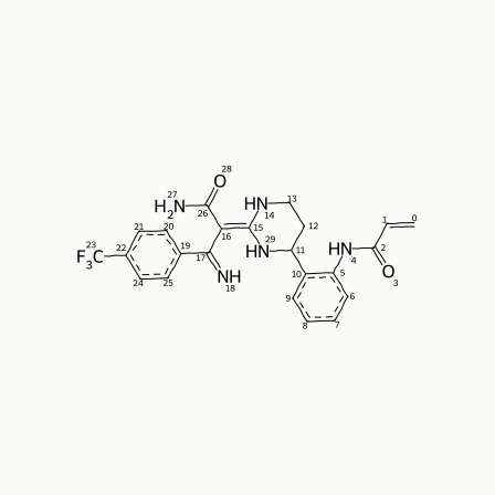 C=CC(=O)Nc1ccccc1C1CCN/C(=C(/C(=N)c2ccc(C(F)(F)F)cc2)C(N)=O)N1